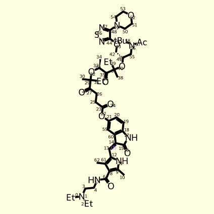 CCN(CC)CCNC(=O)c1c(C)[nH]c(/C=C2\C(=O)Nc3ccc(OC(=O)CCC(=O)C(C)(CC)O[C@@H](C)C(=O)C(C)(CC)O[C@H](COc4nsnc4N4CCOCC4)CN(C(C)=O)C(C)(C)C)cc32)c1C